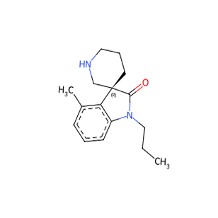 CCCN1C(=O)[C@]2(CCCNC2)c2c(C)cccc21